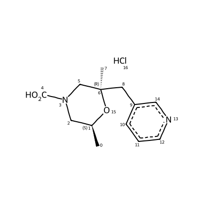 C[C@H]1CN(C(=O)O)C[C@@](C)(Cc2cccnc2)O1.Cl